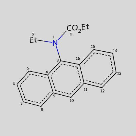 CCOC(=O)N(CC)c1c2ccccc2cc2ccccc12